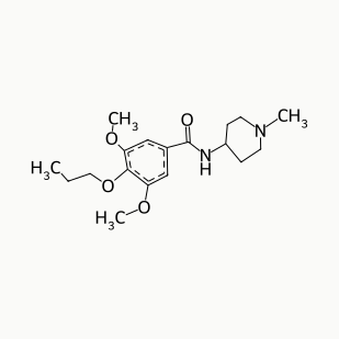 CCCOc1c(OC)cc(C(=O)NC2CCN(C)CC2)cc1OC